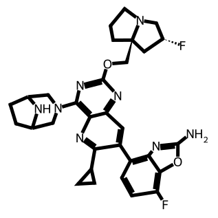 Nc1nc2c(-c3cc4nc(OC[C@@]56CCCN5C[C@H](F)C6)nc(N5CC6CCC(C5)N6)c4nc3C3CC3)ccc(F)c2o1